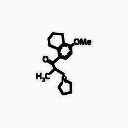 COc1ccc(C(=O)C(C)CN2CCCC2)c2c1CCCC2